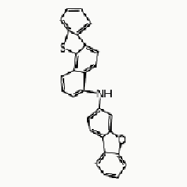 c1ccc2c(c1)oc1cc(Nc3cccc4c3ccc3c5ccccc5sc43)ccc12